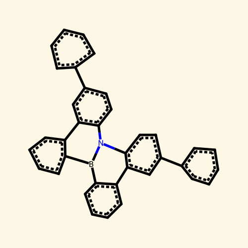 c1ccc(-c2ccc3c(c2)-c2ccccc2B2c4ccccc4-c4cc(-c5ccccc5)ccc4N23)cc1